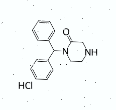 Cl.O=C1CNCCN1C(c1ccccc1)c1ccccc1